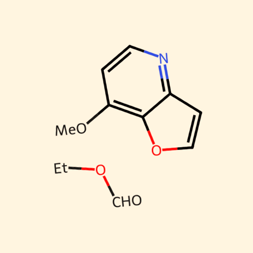 CCOC=O.COc1ccnc2ccoc12